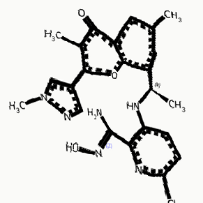 Cc1cc([C@@H](C)Nc2ccc(Cl)nc2/C(N)=N/O)c2oc(-c3cnn(C)c3)c(C)c(=O)c2c1